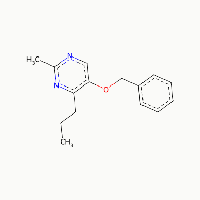 CCCc1nc(C)ncc1OCc1ccccc1